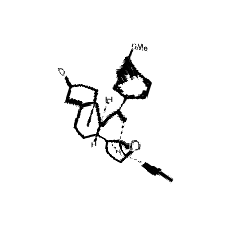 CC#C[C@]12CC[C@H]3[C@@H]4CCC5=CC(=O)CC[C@]5(C)[C@H]4[C@@H](c4ccc(OC)cc4)C[C@@]31O2